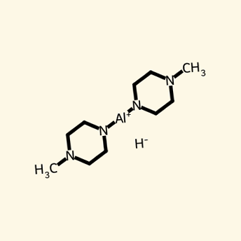 CN1CC[N]([Al+][N]2CCN(C)CC2)CC1.[H-]